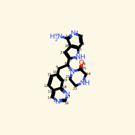 Nc1nccc2[nH]c(C(Cc3ccc4cncnc4c3)N3CCNCC3=O)cc12